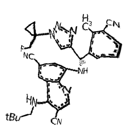 Cc1c(C#N)cccc1[C@H](Nc1cc(C#N)cc2c(NCC(C)(C)C)c(C#N)cnc12)c1cn(C2(CF)CC2)nn1